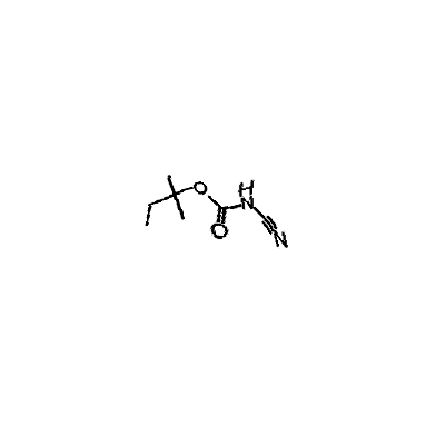 CCC(C)(C)OC(=O)NC#N